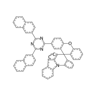 c1ccc2c(c1)Oc1ccc(-c3nc(-c4ccc5ccccc5c4)nc(-c4ccc5ccccc5c4)n3)cc1C21c2ccccc2-n2c3ccccc3c3cccc1c32